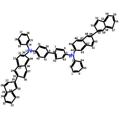 c1ccc(N(c2ccc(-c3ccc(N(c4ccccc4)c4ccc5cc(-c6ccc7ccccc7c6)ccc5c4)cc3)cc2)c2ccc3cc(-c4ccc5ccccc5c4)ccc3c2)cc1